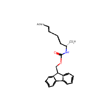 CC(=O)NCCCC[C@@H](NC(=O)OCC1c2ccccc2-c2ccccc21)C(=O)O